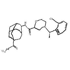 C[C@H](c1ccccc1Cl)N1CCOC(C(=O)NC2C3CC4CC2CC(C(N)=O)(C4)C3)C1